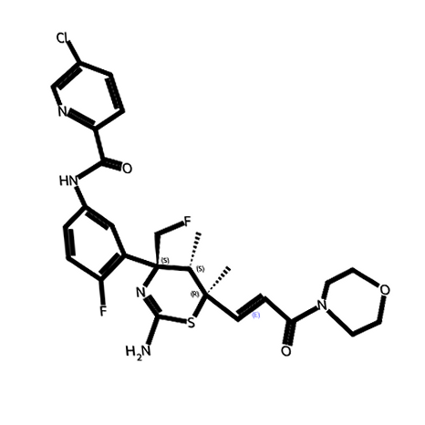 C[C@@H]1[C@@](C)(/C=C/C(=O)N2CCOCC2)SC(N)=N[C@]1(CF)c1cc(NC(=O)c2ccc(Cl)cn2)ccc1F